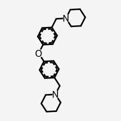 c1cc(Oc2ccc(CN3CCCCC3)cc2)ccc1CN1CCCCC1